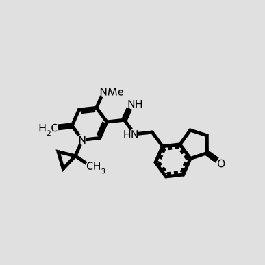 C=C1C=C(NC)C(C(=N)NCc2cccc3c2CCC3=O)=CN1C1(C)CC1